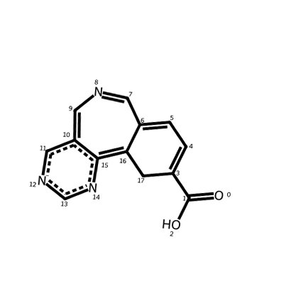 O=C(O)C1=CC=C2C=NC=c3cncnc3=C2C1